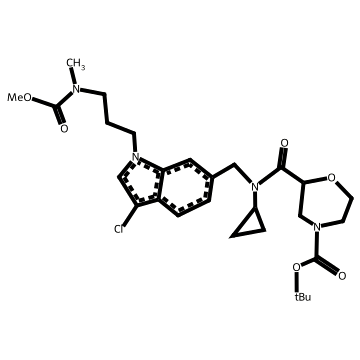 COC(=O)N(C)CCCn1cc(Cl)c2ccc(CN(C(=O)C3CN(C(=O)OC(C)(C)C)CCO3)C3CC3)cc21